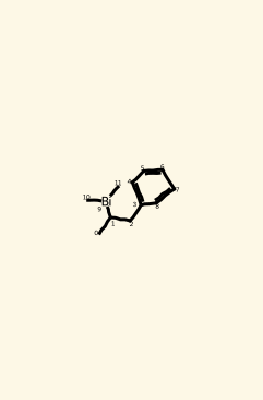 C[CH](Cc1ccccc1)[Bi]([CH3])[CH3]